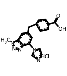 Cl.Cn1nnc2c(-n3ccnc3)cc(Cc3ccc(C(=O)O)cc3)cc21